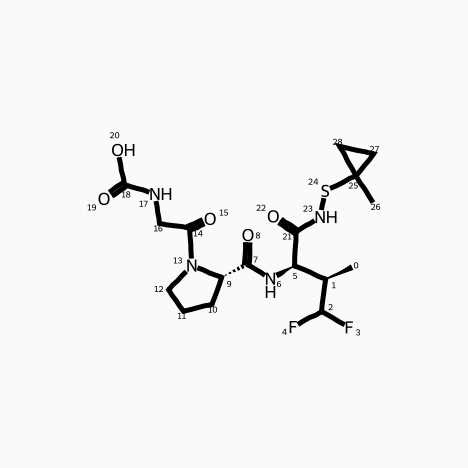 C[C@@H](C(F)F)[C@@H](NC(=O)[C@@H]1CCCN1C(=O)CNC(=O)O)C(=O)NSC1(C)CC1